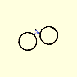 CN(C1CCC/C=C\CCCCCCCCC1)C1CCCCCCCCCCCCCC1